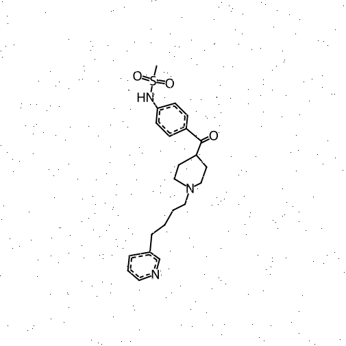 CS(=O)(=O)Nc1ccc(C(=O)C2CCN(CCCCc3cccnc3)CC2)cc1